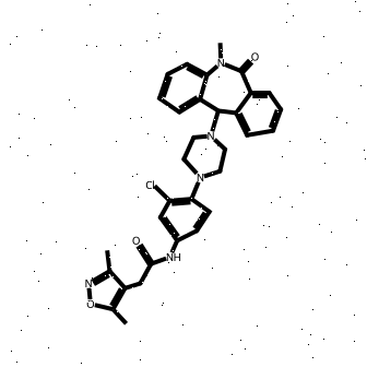 Cc1noc(C)c1CC(=O)Nc1ccc(N2CCN(C3c4ccccc4C(=O)N(C)c4ccccc43)CC2)c(Cl)c1